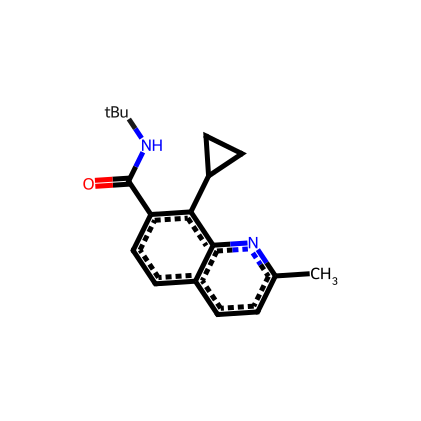 Cc1ccc2ccc(C(=O)NC(C)(C)C)c(C3CC3)c2n1